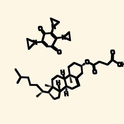 CC(C)CCC[C@@H](C)[C@H]1CC[C@H]2[C@@H]3CC=C4C[C@@H](OC(=O)CCC(=O)O)CC[C@]4(C)[C@H]3CC[C@]12C.O=C1C=C(N2CC2)C(=O)C(N2CC2)=C1N1CC1